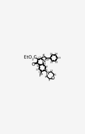 CCOC(=O)c1c2n(c3cc(N4CCOCC4)c(F)cc3c1=O)C(c1ccccc1)S2